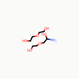 NC(O)COCCO.OCCOCCO